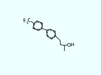 CC(O)CCc1ccc(-c2ccc(C(F)(F)F)cc2)cc1